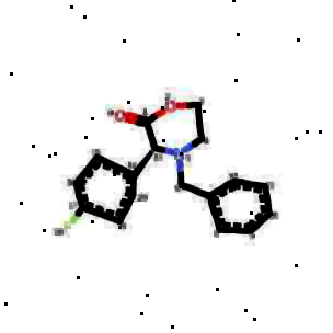 O=C1OCCN(Cc2ccccc2)[C@H]1c1ccc(F)cc1